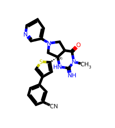 CN1C(=N)N[C@@]2(c3cc(-c4cccc(C#N)c4)cs3)CN(c3cccnc3)CC2C1=O